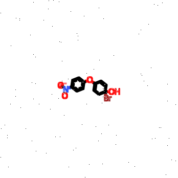 O=[N+]([O-])c1ccc(OC2=CCC(O)(Br)C=C2)cc1